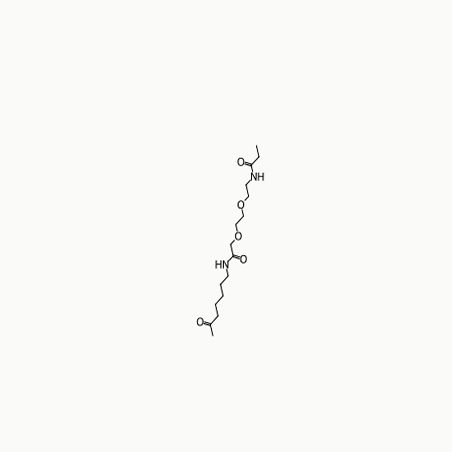 CCC(=O)NCCOCCOCC(=O)NCCCCCC(C)=O